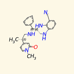 C[C@H](CN[C@H](c1ccccc1)[C@H]1CNc2cccc(C#N)c2N1)c1ccn(C)c(=O)c1